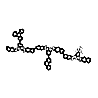 C[Si](C)(C)c1cc2c3c(c1)n1c4cc5cc(-c6ccc7cc8nc9n(c8cc7c6)c6cc(-c7ccc8c(ccc%10ccccc%108)c7)cc7c6n9c6nc8cc9ccc(-c%10ccc%11cc%12nc%13n(c%12cc%11c%10)c%10cc(-c%11ccc%12c%14ccccc%14c%14ccccc%14c%12c%11)cc%11c%10n%13c%10nc%12cc%13ccccc%13cc%12n%11%10)cc9cc8n76)ccc5cc4nc1n3c1nc3cc4ccccc4cc3n21